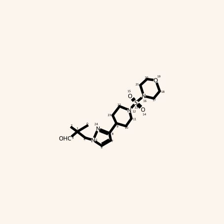 CC(C)(C=O)Cn1ccc(C2CCN(S(=O)(=O)N3CCOCC3)CC2)n1